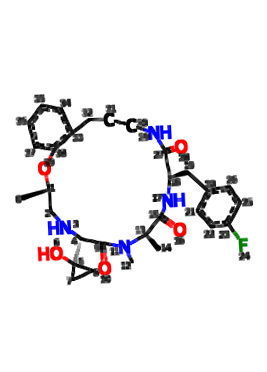 C[C@@H]1CN[C@@H](C2(O)CC2)C(=O)N(C)[C@H](C)C(=O)N[C@H](Cc2ccc(F)cc2)C(=O)NCCCc2ccccc2O1